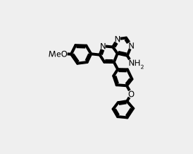 COc1ccc(-c2cc(-c3ccc(Oc4ccccc4)cc3)c3c(N)ncnc3n2)cc1